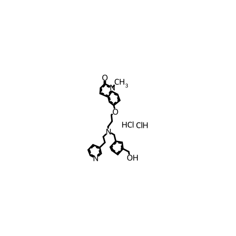 Cl.Cl.Cn1c(=O)ccc2cc(OCCCN(CCc3cccnc3)Cc3cccc(CO)c3)ccc21